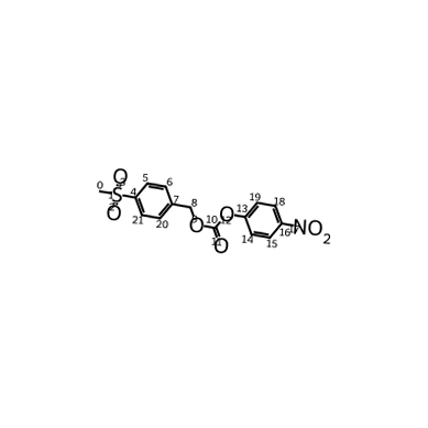 CS(=O)(=O)c1ccc(COC(=O)Oc2ccc([N+](=O)[O-])cc2)cc1